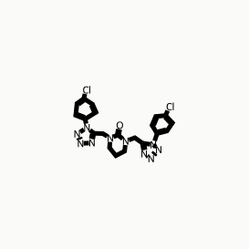 O=C1N(Cc2nnnn2-c2ccc(Cl)cc2)CCCN1Cc1nnnn1-c1ccc(Cl)cc1